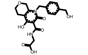 O=C(O)CNC(=O)c1c(O)c2c(n(Cc3ccc(CO)cc3)c1=O)COCC2